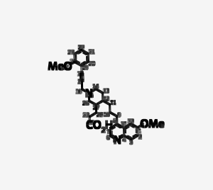 COc1ccc2nccc(CCCC3CCN(CC#Cc4ccccc4OC)CC3CCC(=O)O)c2c1